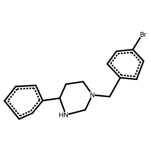 Brc1ccc(CN2CCC(c3ccccc3)NC2)cc1